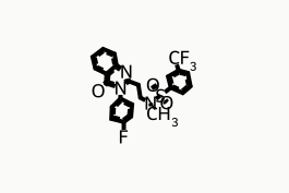 CN(CCc1nc2ccccc2c(=O)n1-c1ccc(F)cc1)S(=O)(=O)c1cccc(C(F)(F)F)c1